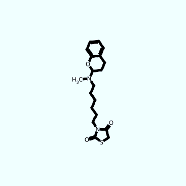 CN(CCCCCCN1C(=O)CSC1=O)C1CCc2ccccc2O1